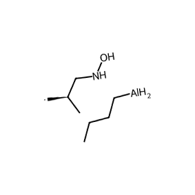 CCC[CH2][AlH2].[CH2][C@H](C)CNO